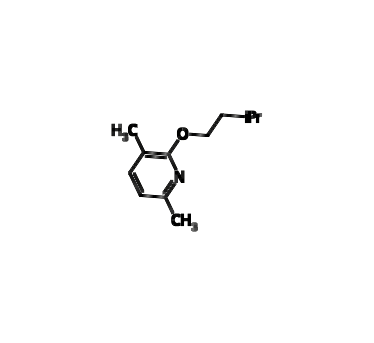 Cc1ccc(C)c(OCCC(C)C)n1